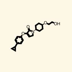 O=C1C(Oc2ccc(C3CC3)cc2)=CCN1[C@H]1CC[C@H](OCCO)CC1